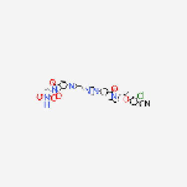 CC(CC1CCC(C)N1C(=O)c1ccc(N2CCN(CCC3CN(c4ccc5c(c4)C(=O)N(C4CCC(=O)NC4=O)C5=O)C3)CC2)cc1)Oc1ccc(C#N)c(Cl)c1